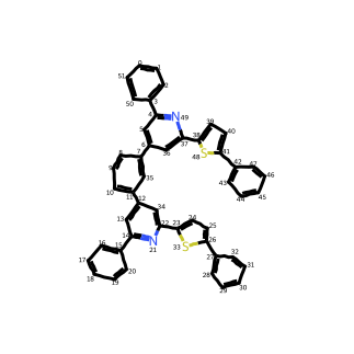 c1ccc(-c2cc(-c3cccc(-c4cc(-c5ccccc5)nc(-c5ccc(-c6ccccc6)s5)c4)c3)cc(-c3ccc(-c4ccccc4)s3)n2)cc1